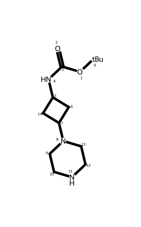 CC(C)(C)OC(=O)NC1CC(N2CCNCC2)C1